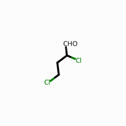 O=CC(Cl)CCCl